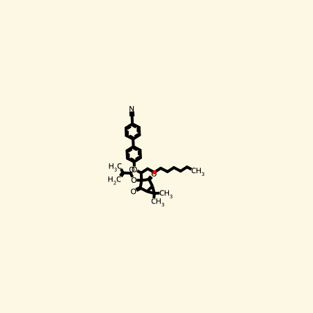 C=C(C)C(=O)OC1(C(CCCCCCCC)Oc2ccc(-c3ccc(C#N)cc3)cc2)C(=O)C2C(C1=O)C2(C)C